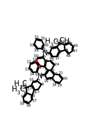 CC1(C)C2=C(CCC(N(c3ccccc3)c3cc4ccccc4c4ccc5c(N(c6ccccc6)c6ccc7c(c6)C(C)(C)c6ccccc6-7)cc#cc5c34)=C2)c2ccccc21